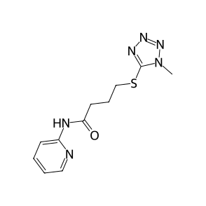 Cn1nnnc1SCCCC(=O)Nc1ccccn1